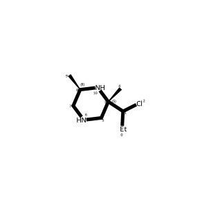 CCC(Cl)[C@]1(C)CNC[C@@H](C)N1